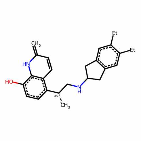 C=C1C=Cc2c([C@@H](C)CNC3Cc4cc(CC)c(CC)cc4C3)ccc(O)c2N1